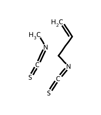 C=CCN=C=S.CN=C=S